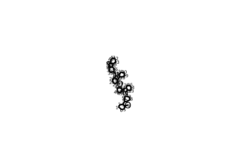 c1ccc2c(c1)oc1ccc(-n3c4ccccc4c4c(Oc5cccc6c5c5ccccc5n6-c5ccc6sc7ccccc7c6c5)cccc43)cc12